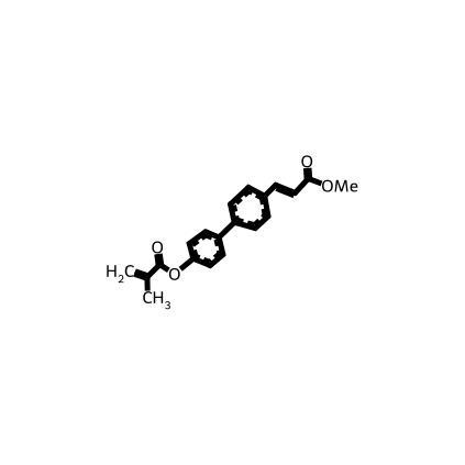 C=C(C)C(=O)Oc1ccc(-c2ccc(C=CC(=O)OC)cc2)cc1